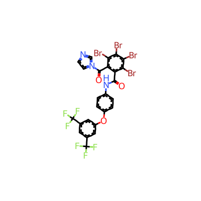 O=C(Nc1ccc(Oc2cc(C(F)(F)F)cc(C(F)(F)F)c2)cc1)c1c(Br)c(Br)c(Br)c(Br)c1C(=O)n1ccnc1